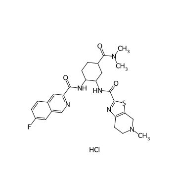 CN1CCc2nc(C(=O)NC3CC(C(=O)N(C)C)CCC3NC(=O)c3cc4ccc(F)cc4cn3)sc2C1.Cl